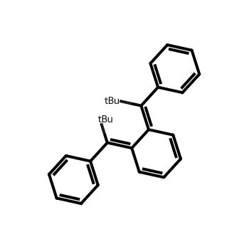 CC(C)(C)C(c1ccccc1)=c1ccccc1=C(c1ccccc1)C(C)(C)C